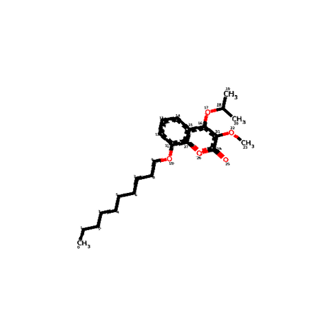 CCCCCCCCCCOc1cccc2c(OC(C)C)c(OC)c(=O)oc12